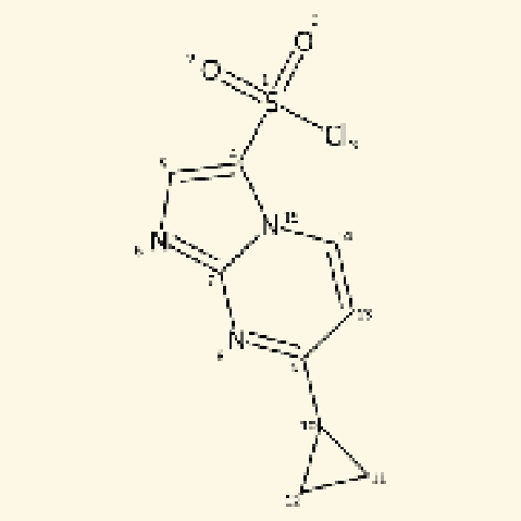 O=S(=O)(Cl)c1cnc2nc(C3CC3)ccn12